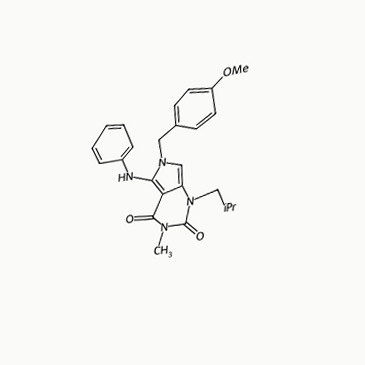 COc1ccc(Cn2cc3c(c2Nc2ccccc2)c(=O)n(C)c(=O)n3CC(C)C)cc1